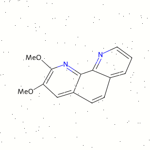 COc1cc2ccc3cccnc3c2nc1OC